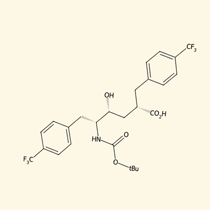 CC(C)(C)OC(=O)N[C@H](Cc1ccc(C(F)(F)F)cc1)[C@H](O)C[C@H](Cc1ccc(C(F)(F)F)cc1)C(=O)O